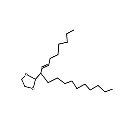 CCCCCC/C=C/C(CCCCCCCCCC)C1OCCO1